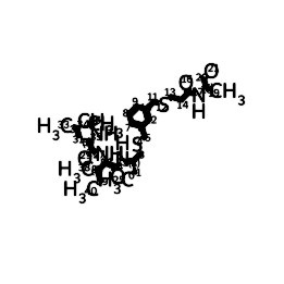 CC[C@H](CSCc1cccc(CSCCC(=O)N[C@@H](C)C=O)c1)NC(=O)[C@@H](NC(=O)[C@H](CC(C)C)NC)[C@@H](C)CC